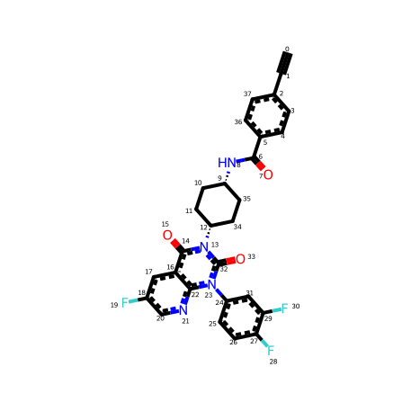 C#Cc1ccc(C(=O)N[C@H]2CC[C@@H](n3c(=O)c4cc(F)cnc4n(-c4ccc(F)c(F)c4)c3=O)CC2)cc1